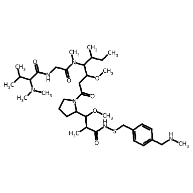 CCC(C)C(C(CC(=O)N1CCCC1C(OC)C(C)C(=O)NSCc1ccc(CNC)cc1)OC)N(C)C(=O)CNC(=O)C(C(C)C)N(C)C